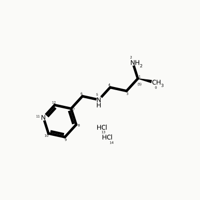 C[C@H](N)CCNCc1cccnc1.Cl.Cl